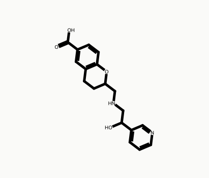 O=C(O)c1ccc2c(c1)CCC(CNCC(O)c1cccnc1)O2